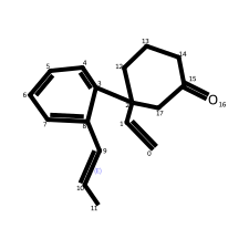 C=CC1(c2ccccc2/C=C/C)CCCC(=O)C1